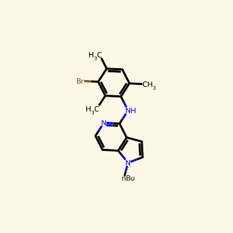 CCCCn1ccc2c(Nc3c(C)cc(C)c(Br)c3C)nccc21